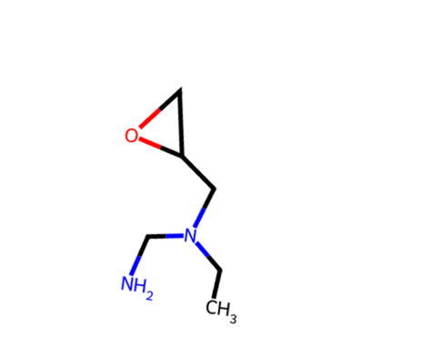 CCN(CN)CC1CO1